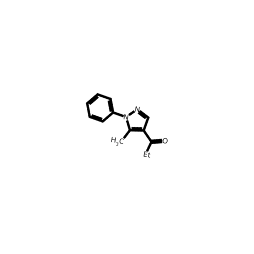 CCC(=O)c1cnn(-c2ccccc2)c1C